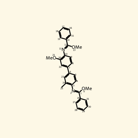 CO/C(=N\c1ccc(-c2ccc(/N=C(\OC)c3ccccc3)c(OC)c2)cc1C)c1ccccc1